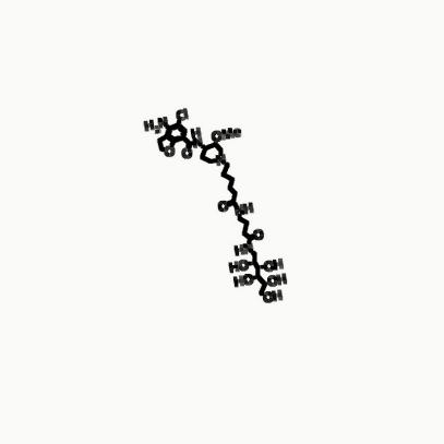 CO[C@H]1CN(CCCCCC(=O)NCCCC(=O)NC[C@H](O)[C@@H](O)[C@H](O)[C@H](O)CO)CC[C@H]1NC(=O)c1cc(Cl)c(N)c2c1OCC2